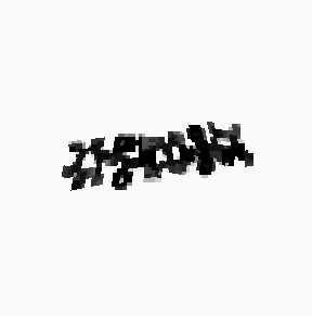 Cn1ccc(S(=O)(=O)N2CC3=C(CN(C(=O)[C@H](O)c4ccccc4)C3)C2)n1